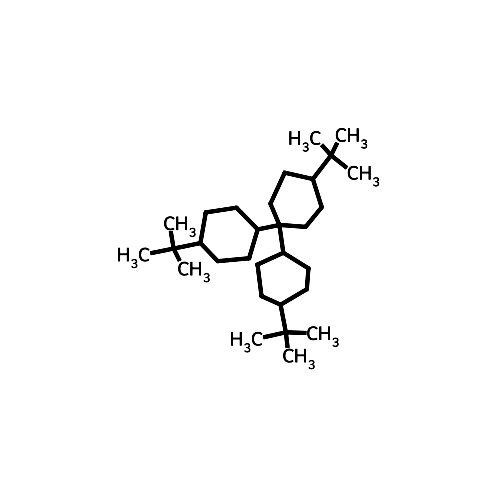 CC(C)(C)C1CCC(C2(C3CCC(C(C)(C)C)CC3)CCC(C(C)(C)C)CC2)CC1